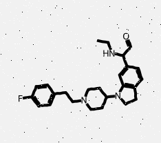 CCNC(C=O)c1ccc2c(c1)N(C1CCN(CCc3ccc(F)cc3)CC1)CC2